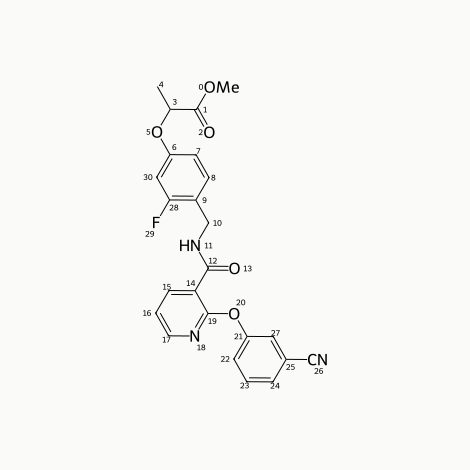 COC(=O)C(C)Oc1ccc(CNC(=O)c2cccnc2Oc2cccc(C#N)c2)c(F)c1